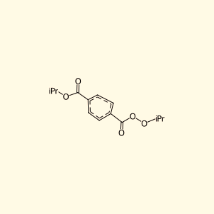 CC(C)OOC(=O)c1ccc(C(=O)OC(C)C)cc1